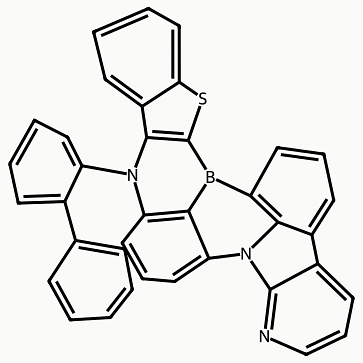 c1ccc(-c2ccccc2N2c3cccc4c3B(c3sc5ccccc5c32)c2cccc3c5cccnc5n-4c23)cc1